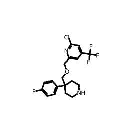 Fc1ccc(C2(COCc3cc(C(F)(F)F)cc(Cl)n3)CCNCC2)cc1